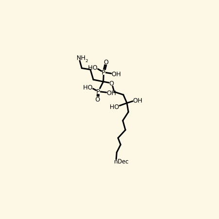 CCCCCCCCCCCCCCCCC(O)(O)CCOC(CCCN)(P(=O)(O)O)P(=O)(O)O